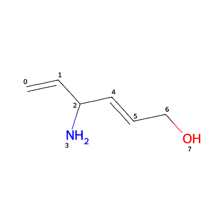 C=CC(N)C=CCO